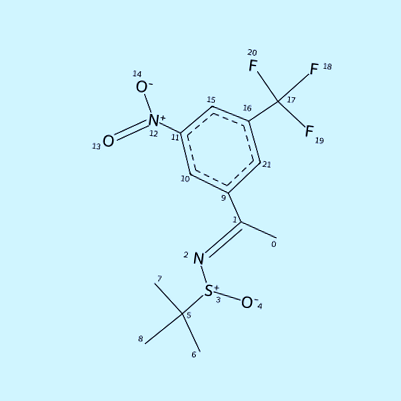 C/C(=N\[S+]([O-])C(C)(C)C)c1cc([N+](=O)[O-])cc(C(F)(F)F)c1